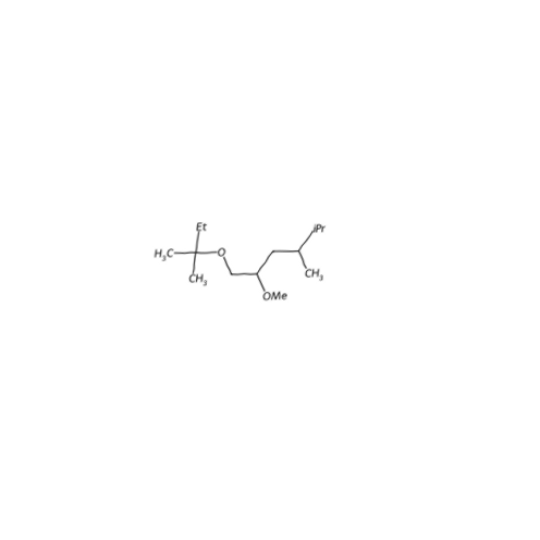 CCC(C)(C)OCC(CC(C)C(C)C)OC